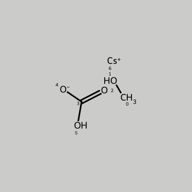 CO.O=C([O-])O.[Cs+]